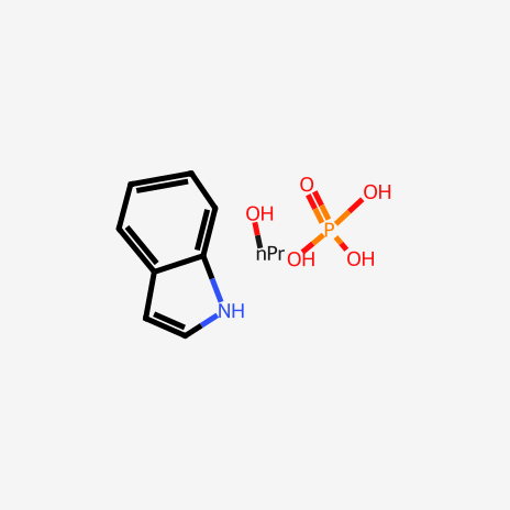 CCCO.O=P(O)(O)O.c1ccc2[nH]ccc2c1